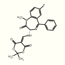 CN1C(=O)[C@@H](NC=C2C(=O)OC(C)(C)OC2=O)N=C(c2ccccc2)c2cc(F)ccc21